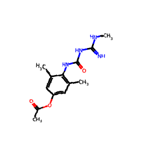 CNC(=N)NC(=O)Nc1c(C)cc(OC(C)=O)cc1C